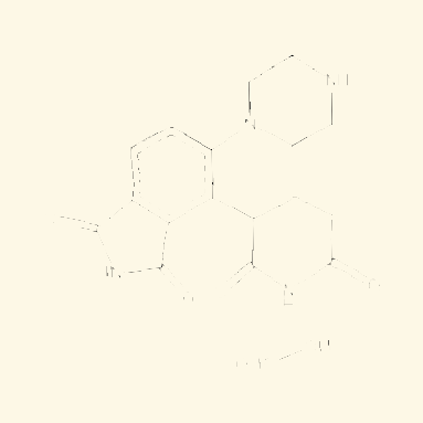 O=C1CCC(c2c(N3CCNCC3)ccc3c2C(=O)NC3=O)C(=O)N1.O=CO